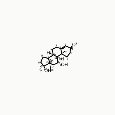 C[C@]12CCC(=O)C=C1CC[C@@H]1[C@@H]2[C@H](O)C[C@@]2(C)[C@H]1CC[C@]2(C)O